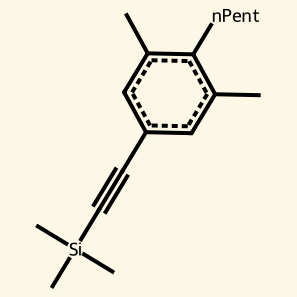 CCCCCc1c(C)cc(C#C[Si](C)(C)C)cc1C